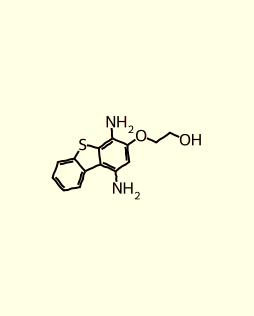 Nc1c(OCCO)cc(N)c2c1sc1ccccc12